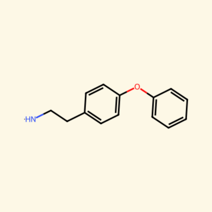 [NH]CCc1ccc(Oc2ccccc2)cc1